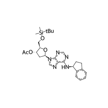 CC(=O)O[C@H]1C[C@H](n2cnc3c(N[C@H]4CCc5ccccc54)ncnc32)O[C@@H]1CO[Si](C)(C)C(C)(C)C